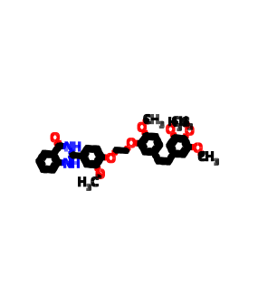 COc1cc(C2NC(=O)c3ccccc3N2)ccc1OCCOc1cc(/C=C\c2cc(OC)c(OC)c(OC)c2)ccc1OC